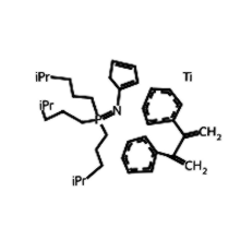 C=C(C(=C)c1ccccc1)c1ccccc1.CC(C)CCCP(CCCC(C)C)(CCCC(C)C)=NC1=CC=CC1.[Ti]